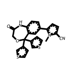 Cn1c(C#N)ccc1-c1ccc2c(c1)C(c1ccsc1)(c1ccsc1)OCC(=O)N2